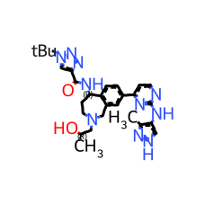 Cc1n[nH]cc1Nc1nccc(-c2ccc3c(c2)CN(C[C@@H](C)O)CC[C@H]3NC(=O)c2cn(C(C)(C)C)nn2)n1